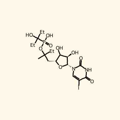 CCC(C)(C[C@H]1O[C@@H](n2cc(I)c(=O)[nH]c2=O)[C@H](O)C1O)OP(=O)(O)C(O)(CC)CC